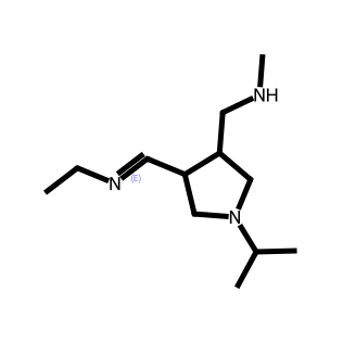 CC/N=C/C1CN(C(C)C)CC1CNC